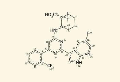 O=C(O)C1C2CCC(CC2)C1Nc1cc(-c2ccccc2C(F)(F)F)nc(-c2c[nH]c3ncc(F)cc23)n1